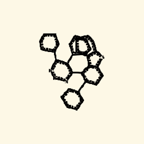 c1ccc(-c2ccc3sc4ccccc4c3c2-c2nnnc(-c3ccccc3)c2-c2ccccc2)cc1